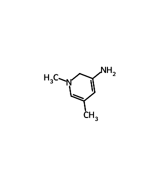 CC1=CN(C)CC(N)=C1